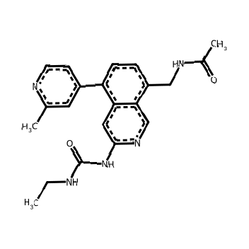 CCNC(=O)Nc1cc2c(-c3ccnc(C)c3)ccc(CNC(C)=O)c2cn1